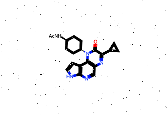 CC(=O)N[C@H]1CC[C@H](n2c(=O)c(C3CC3)nc3cnc4[nH]ccc4c32)CC1